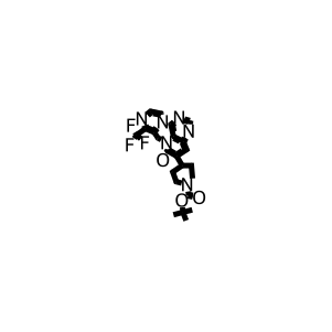 CC(C)(C)OC(=O)N1CCC(c2cc3ncncc3n(Cc3nccnc3C(F)(F)F)c2=O)CC1